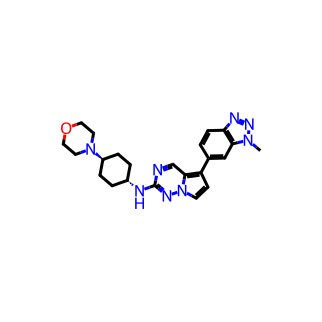 Cn1nnc2ccc(-c3ccn4nc(N[C@H]5CC[C@H](N6CCOCC6)CC5)ncc34)cc21